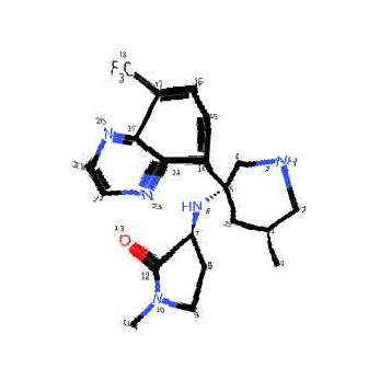 C[C@@H]1CNC[C@](N[C@H]2CCN(C)C2=O)(c2ccc(C(F)(F)F)c3nccnc23)C1